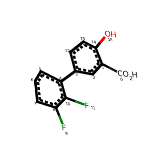 O=C(O)c1cc(-c2cccc(F)c2F)ccc1O